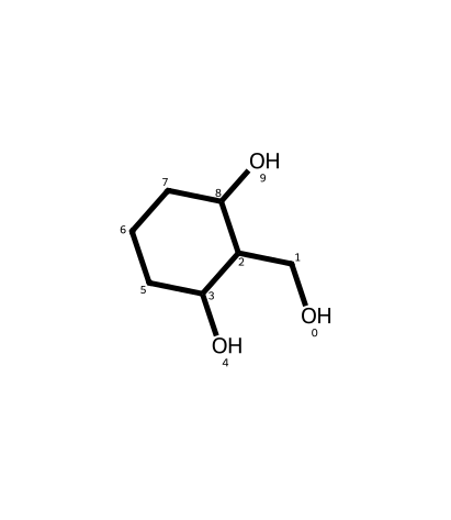 OCC1C(O)CCCC1O